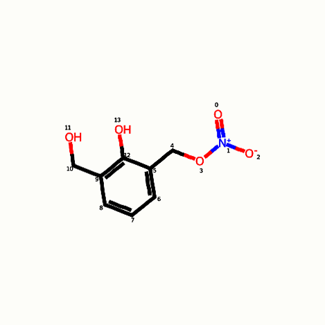 O=[N+]([O-])OCc1cccc(CO)c1O